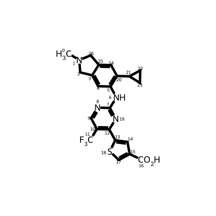 CN1Cc2cc(Nc3ncc(C(F)(F)F)c(-c4cc(C(=O)O)cs4)n3)c(C3CC3)cc2C1